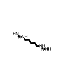 N=NNCCCCCNN=N